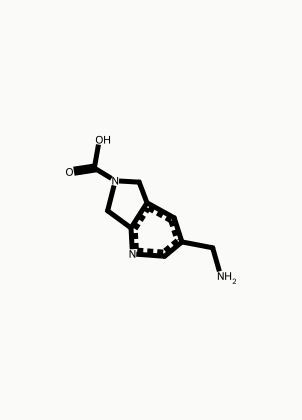 NCc1cnc2c(c1)CN(C(=O)O)C2